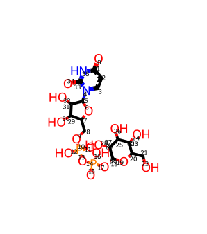 O=c1ccn(C2OC(COP(=O)(O)OP(=O)(O)O[C@H]3OC(CO)[C@H](O)C(O)[C@@H]3O)C(O)C2O)c(=O)[nH]1